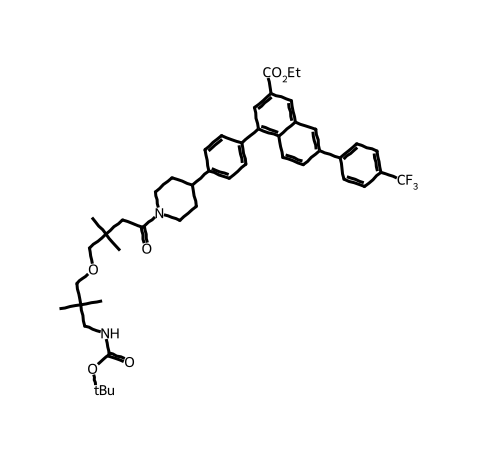 CCOC(=O)c1cc(-c2ccc(C3CCN(C(=O)CC(C)(C)COCC(C)(C)CNC(=O)OC(C)(C)C)CC3)cc2)c2ccc(-c3ccc(C(F)(F)F)cc3)cc2c1